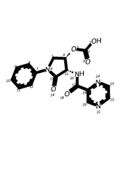 O=C(O)O[C@H]1CN(c2ccccc2)C(=O)[C@H]1NC(=O)c1cnccn1